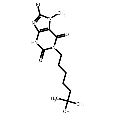 CCc1nc2[nH]c(=O)n(CCCCCC(C)(C)O)c(=O)c2n1C